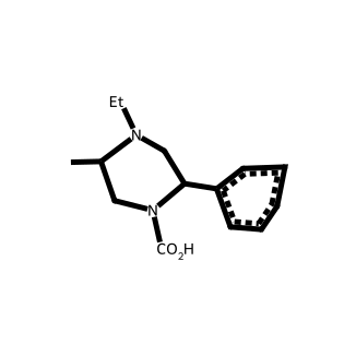 CCN1CC(c2ccccc2)N(C(=O)O)CC1C